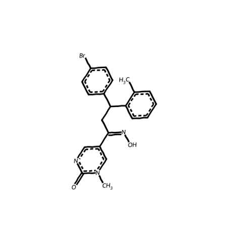 Cc1ccccc1C(C/C(=N/O)c1cnc(=O)n(C)c1)c1ccc(Br)cc1